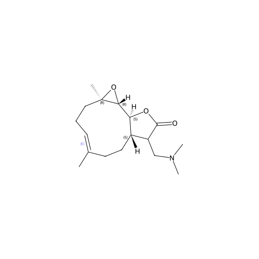 C/C1=C\CC[C@@]2(C)O[C@@H]2[C@H]2OC(=O)C(CN(C)C)[C@@H]2CC1